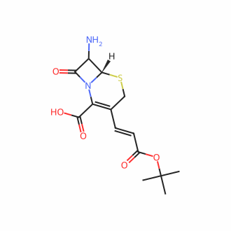 CC(C)(C)OC(=O)/C=C/C1=C(C(=O)O)N2C(=O)C(N)[C@@H]2SC1